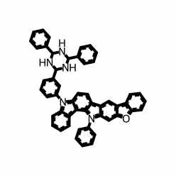 c1ccc(C2NC(c3ccccc3)NC(c3cccc(-n4c5ccccc5c5c4ccc4c6cc7c(cc6n(-c6ccccc6)c45)oc4ccccc47)c3)N2)cc1